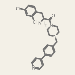 NC(Cc1ccc(Cl)cc1Cl)C(=O)N1CCN(Cc2ccc(-c3ccncc3)cc2)CC1